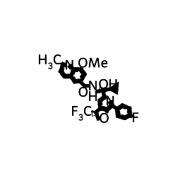 COc1cc(C(=O)NC[C@](O)(c2cc3c(c(-c4ccc(F)cc4)n2)OC[C@H]3C(F)(F)F)C2CC2)cc2ccc(C)nc12